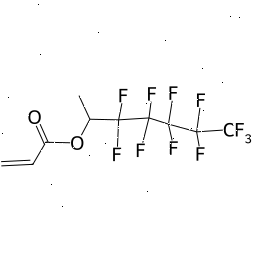 C=CC(=O)OC(C)C(F)(F)C(F)(F)C(F)(F)C(F)(F)C(F)(F)F